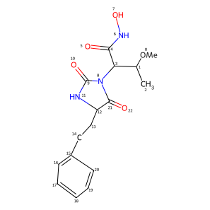 COC(C)C(C(=O)NO)N1C(=O)NC(CCc2ccccc2)C1=O